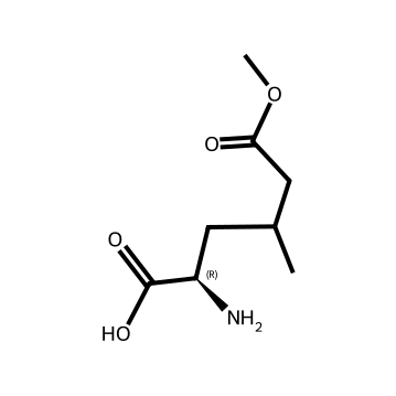 COC(=O)CC(C)C[C@@H](N)C(=O)O